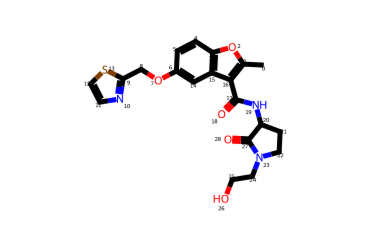 Cc1oc2ccc(OCc3nccs3)cc2c1C(=O)NC1CCN(CCO)C1=O